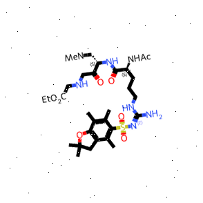 CCOC(=O)CNCC(=O)[C@H](CNC)NC(=O)[C@H](CCCN/C(N)=N\S(=O)(=O)c1c(C)c(C)c2c(c1C)CC(C)(C)O2)NC(C)=O